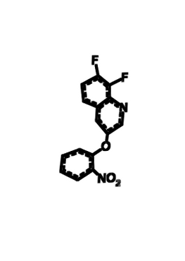 O=[N+]([O-])c1ccccc1Oc1cnc2c(F)c(F)ccc2c1